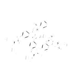 C=C(C)C(=O)Oc1ccc(C(CS(=O)(=O)c2ccccc2)CS(=O)(=O)c2ccc(CC(=C)C(=O)Oc3ccc(C(CS(=O)(=O)CCC)CS(=O)(=O)CCCC)cc3)cc2)cc1